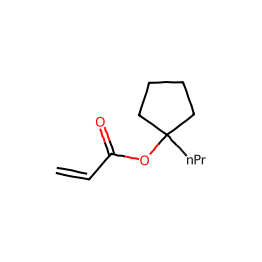 C=CC(=O)OC1(CCC)CCCC1